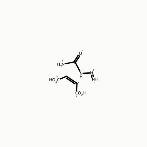 N=NNC(N)=O.O=C(O)/C=C\C(=O)O